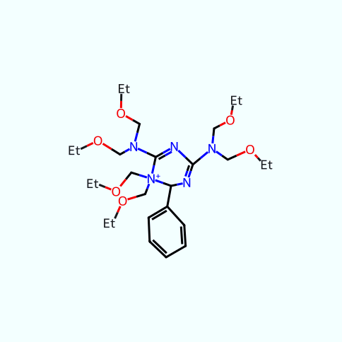 CCOCN(COCC)C1=NC(c2ccccc2)[N+](COCC)(COCC)C(N(COCC)COCC)=N1